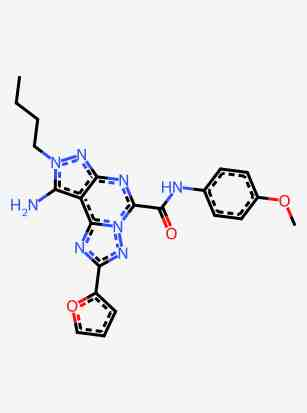 CCCCn1nc2nc(C(=O)Nc3ccc(OC)cc3)n3nc(-c4ccco4)nc3c2c1N